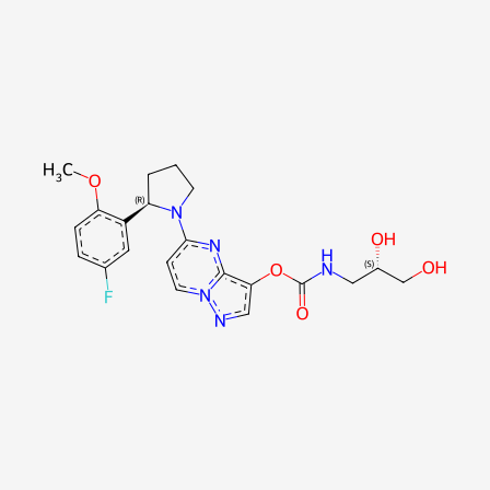 COc1ccc(F)cc1[C@H]1CCCN1c1ccn2ncc(OC(=O)NC[C@H](O)CO)c2n1